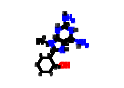 CC(C)n1c(C2CCCCC2O)nc2c(N)nc(N)nc21